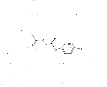 CC(=O)OCC(=O)Oc1ccc(Cl)cc1